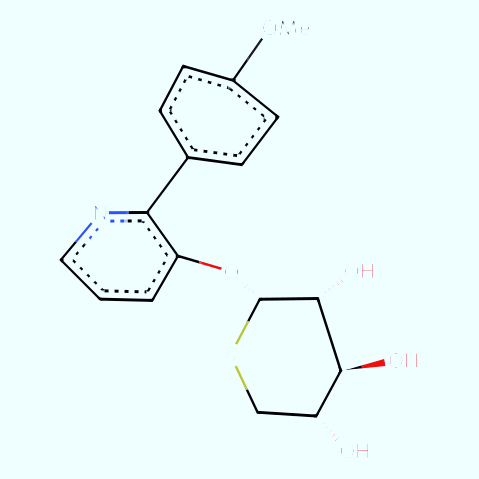 COc1ccc(-c2ncccc2O[C@H]2SC[C@@H](O)[C@H](O)[C@H]2O)cc1